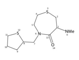 CNC1CSCCN(CC2CCCS2)C1=O